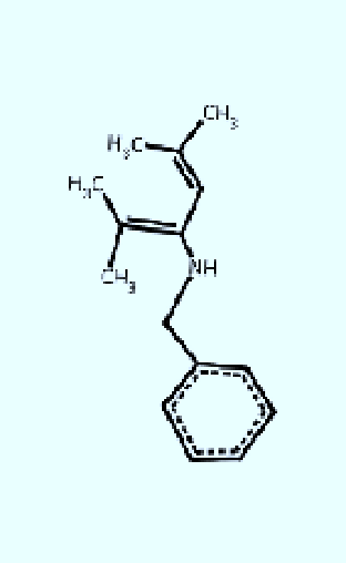 CC(C)=CC(NCc1ccccc1)=C(C)C